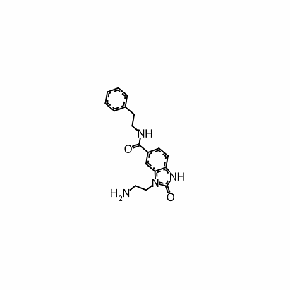 NCCn1c(=O)[nH]c2ccc(C(=O)NCCc3ccccc3)cc21